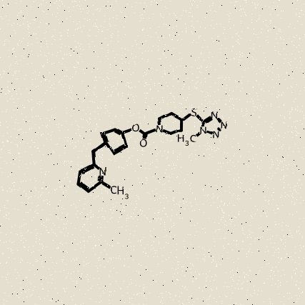 Cc1cccc(Cc2ccc(OC(=O)N3CCC(Sc4nnnn4C)CC3)cc2)n1